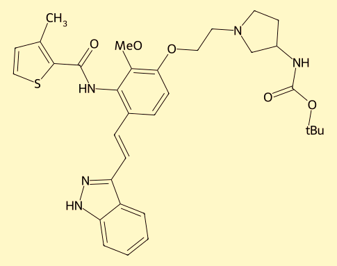 COc1c(OCCN2CCC(NC(=O)OC(C)(C)C)C2)ccc(/C=C/c2n[nH]c3ccccc23)c1NC(=O)c1sccc1C